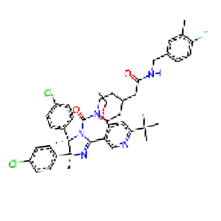 CCOc1cc(C(C)(C)C)ncc1C1=N[C@@](C)(c2ccc(Cl)cc2)[C@@](C)(c2ccc(Cl)cc2)N1C(=O)N1CCC(CC(=O)NCc2ccc(F)c(C)c2)CC1